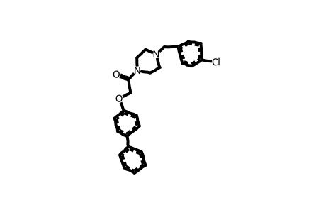 O=C(COc1ccc(-c2ccccc2)cc1)N1CCN(Cc2ccc(Cl)cc2)CC1